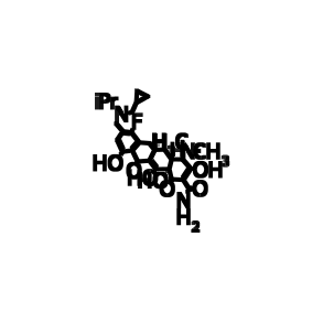 CC(C)N(Cc1cc(O)c2c(c1F)C[C@H]1C[C@H]3[C@H](N(C)C)C(O)=C(C(N)=O)C(=O)[C@@]3(O)C(O)=C1C2=O)CC1CC1